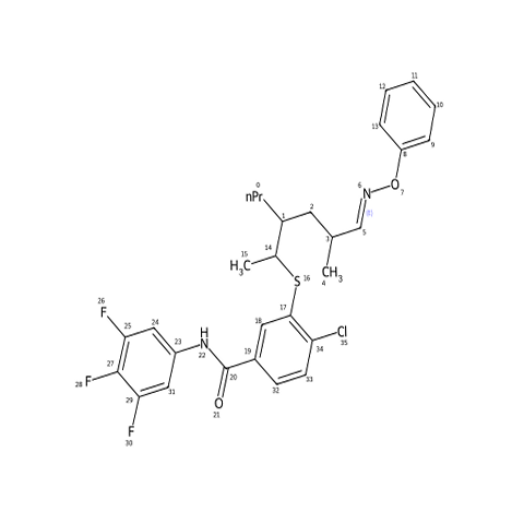 CCCC(CC(C)/C=N/Oc1ccccc1)C(C)Sc1cc(C(=O)Nc2cc(F)c(F)c(F)c2)ccc1Cl